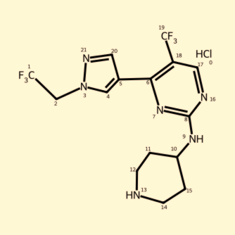 Cl.FC(F)(F)Cn1cc(-c2nc(NC3CCNCC3)ncc2C(F)(F)F)cn1